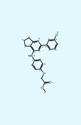 COC(=O)COc1ccc(Nc2cc(-c3cccc(Cl)c3)nc3c2CCC3)cc1